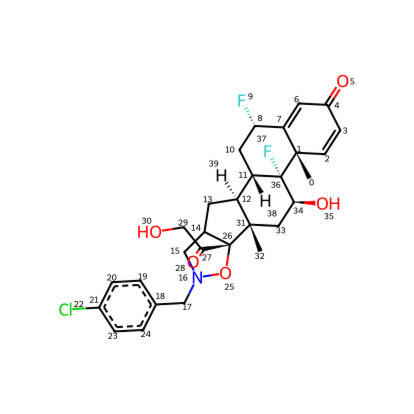 C[C@]12C=CC(=O)C=C1[C@@H](F)C[C@H]1[C@@H]3CC4CN(Cc5ccc(Cl)cc5)O[C@@]4(C(=O)CO)[C@@]3(C)C[C@H](O)[C@@]12F